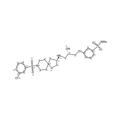 CNS(=O)(=O)c1cccc(OC[C@@H](O)CN[C@H]2COC3(CCN(S(=O)(=O)c4cccc(Cl)c4)CC3)C2)c1